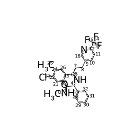 CNC(=O)C(N[C@H](CCc1ccc(C(F)(F)F)nc1)c1ccc(Cl)c(C)c1)c1ccccc1